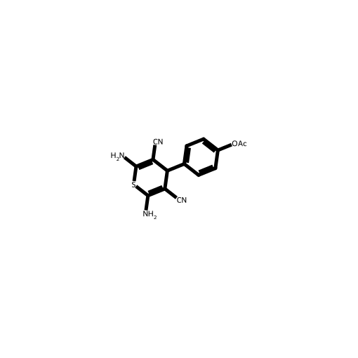 CC(=O)Oc1ccc(C2C(C#N)=C(N)SC(N)=C2C#N)cc1